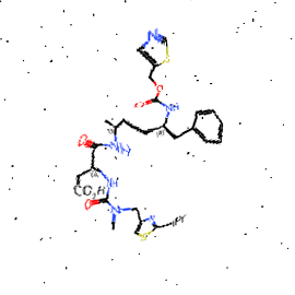 CC(C)c1nc(CN(C)C(=O)N[C@@H](CC(=O)O)C(=O)N[C@@H](C)CC[C@H](Cc2ccccc2)NC(=O)OCc2cncs2)cs1